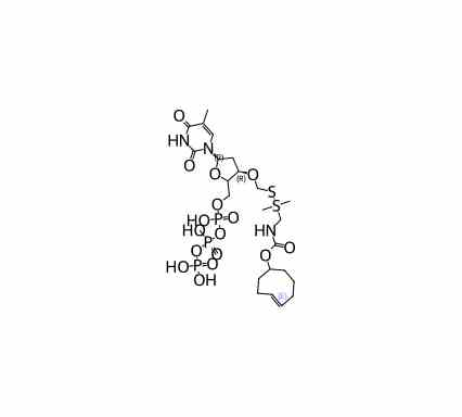 Cc1cn([C@H]2C[C@@H](OCSS(C)(C)CNC(=O)OC3CC/C=C/CCC3)C(COP(=O)(O)OP(=O)(O)OP(=O)(O)O)O2)c(=O)[nH]c1=O